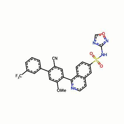 COc1cc(-c2cccc(C(F)(F)F)c2)c(C#N)cc1-c1nccc2cc(S(=O)(=O)Nc3ncon3)ccc12